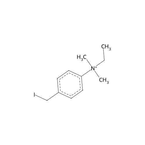 CC[N+](C)(C)c1ccc(CI)cc1